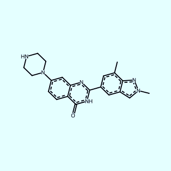 Cc1cc(-c2nc3cc(N4CCNCC4)ccc3c(=O)[nH]2)cc2cn(C)nc12